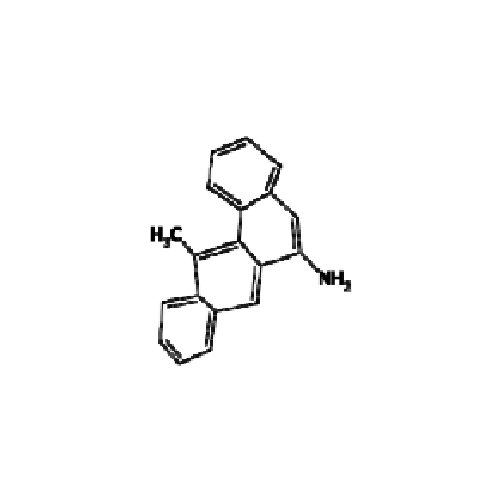 Cc1c2ccccc2cc2c(N)cc3ccccc3c12